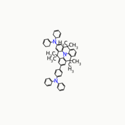 CC1(C)c2cccc3c2N2c4c1cc(-c1ccc(N(c5ccccc5)c5ccccc5)cc1)cc4C(C)(C)c1cc(N(C4=CC=CCC4)C4C=CC=CC4)cc(c12)C3(C)C